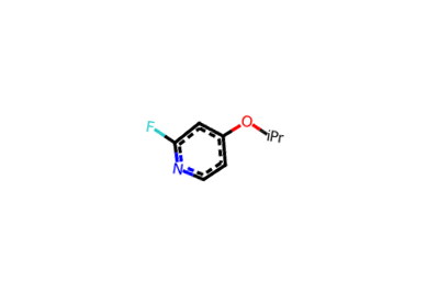 CC(C)Oc1ccnc(F)c1